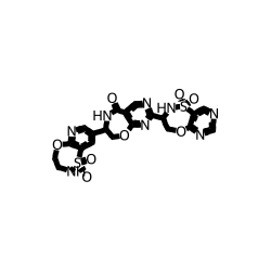 O=C1NC(c2cnc3c(c2)S(=O)(=O)NCCO3)COc2nc(C3COc4ncncc4S(=O)(=O)N3)ncc21